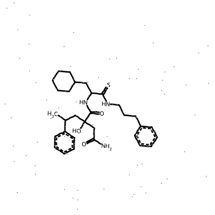 CC(CC(O)(CC(N)=O)C(=O)NC(CC1CCCCC1)C(=S)NCCCc1ccccc1)c1ccccc1